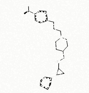 O=C(O)c1ccc(CCCN2CCC(CNC3C[C@@H]3c3ccccc3)CC2)cc1